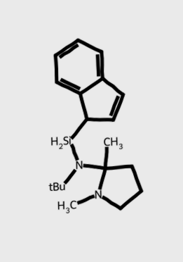 CN1CCCC1(C)N([SiH2]C1C=Cc2ccccc21)C(C)(C)C